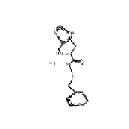 Cl.O=C(NOCc1ccccc1)C1Cc2nccnc2CN1